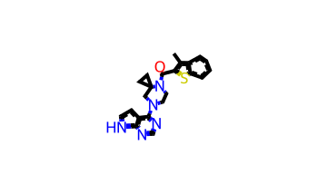 Cc1c(C(=O)N2CCN(c3ncnc4[nH]ccc34)CC23CC3)sc2ccccc12